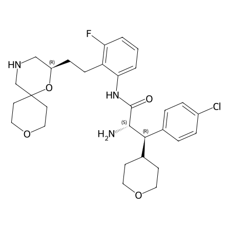 N[C@H](C(=O)Nc1cccc(F)c1CC[C@@H]1CNCC2(CCOCC2)O1)[C@@H](c1ccc(Cl)cc1)C1CCOCC1